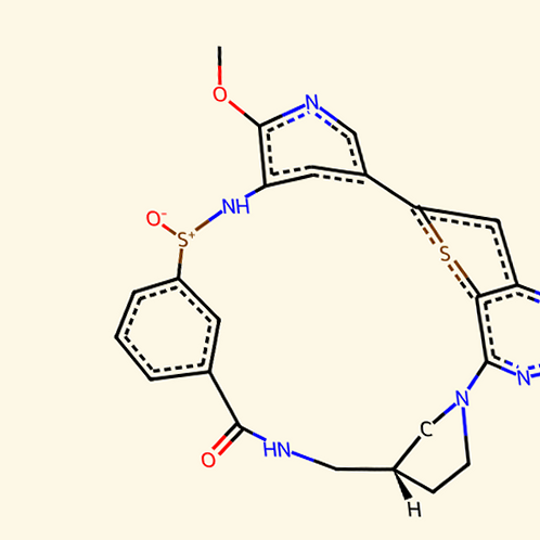 COc1ncc2cc1N[S+]([O-])c1cccc(c1)C(=O)NC[C@H]1CCN(C1)c1ncnc3cc-2sc13